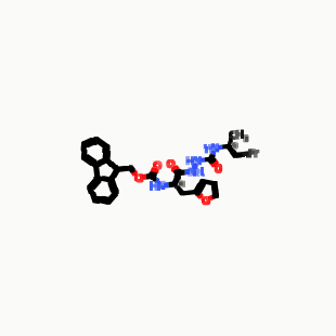 CC(C)C[C@H](C)NC(=O)NNC(=O)[C@@H](Cc1ccco1)NC(=O)OCC1c2ccccc2-c2ccccc21